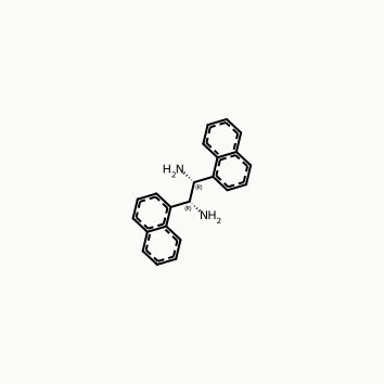 N[C@H](c1cccc2ccccc12)[C@H](N)c1cccc2ccccc12